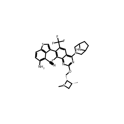 C[C@@H]1CN(C)[C@@H]1COc1nc(N2CC3CCC(C2)N3)c2cc(C(F)(F)F)c(-c3csc4ccc(N)c(C#N)c34)c(F)c2n1